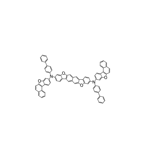 c1ccc(-c2ccc(N(c3ccc4c(c3)oc3cc5cc6c(cc5cc34)oc3cc(N(c4ccc(-c5ccccc5)cc4)c4ccc5c(c4)oc4ccc7ccccc7c45)ccc36)c3ccc4c(c3)oc3ccc5ccccc5c34)cc2)cc1